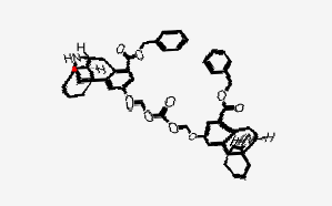 O=C(OCOc1cc(C(=O)OCc2ccccc2)c2c(c1)[C@@]13CCCC[C@H]1[C@@H](C2)NCC3)OCOc1cc(C(=O)OCc2ccccc2)c2c(c1)[C@@]13CCCC[C@H]1[C@@H](C2)NCC3